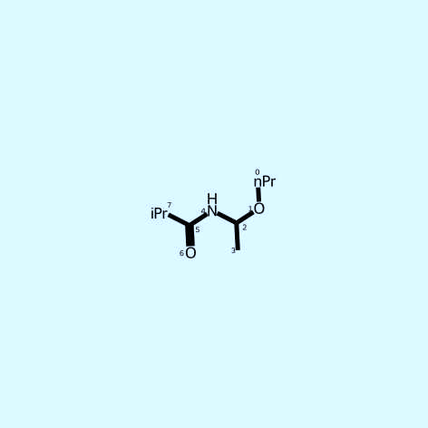 CCCOC(C)NC(=O)C(C)C